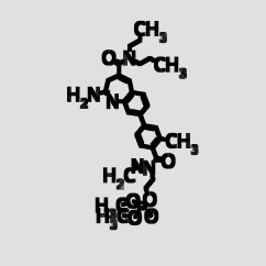 C=NN(CCOP(=O)(OC)OC)C(=O)c1ccc(-c2ccc3c(c2)N=C(N)CC(C(=O)N(CCC)CCC)=C3)cc1C